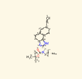 C#Cc1ccc2c(ccc3nc([C@@H]4C[C@H]5CC5N4C(=O)OC(C)(C)C)[nH]c32)c1